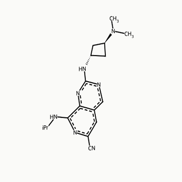 CC(C)Nc1nc(C#N)cc2cnc(N[C@H]3C[C@H](N(C)C)C3)nc12